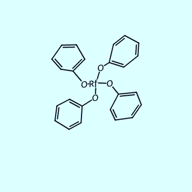 c1ccc([O][Rf]([O]c2ccccc2)([O]c2ccccc2)[O]c2ccccc2)cc1